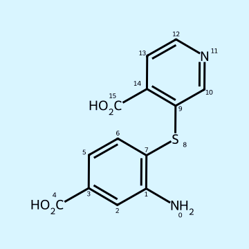 Nc1cc(C(=O)O)ccc1Sc1cnccc1C(=O)O